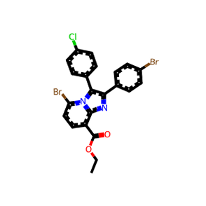 CCOC(=O)c1ccc(Br)n2c(-c3ccc(Cl)cc3)c(-c3ccc(Br)cc3)nc12